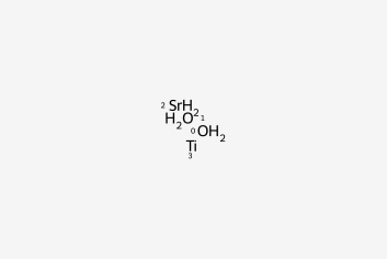 O.O.[SrH2].[Ti]